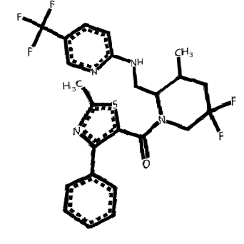 Cc1nc(-c2ccccc2)c(C(=O)N2CC(F)(F)CC(C)C2CNc2ccc(C(F)(F)F)cn2)s1